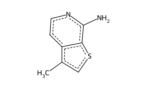 Cc1csc2c(N)nccc12